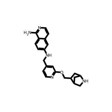 Nc1nccc2cc(NCc3ccnc(OCC4CC5CC4CN5)c3)ccc12